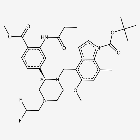 CCC(=O)Nc1cc([C@@H]2CN(CC(F)F)CCN2Cc2c(OC)cc(C)c3c2ccn3C(=O)OC(C)(C)C)ccc1C(=O)OC